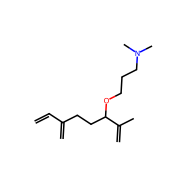 C=CC(=C)CCC(OCCCN(C)C)C(=C)C